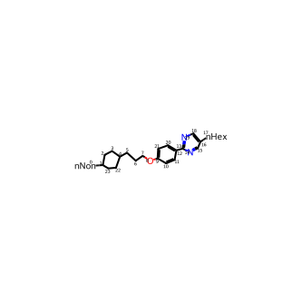 CCCCCCCCCC1CCC(CCCOc2ccc(-c3ncc(CCCCCC)cn3)cc2)CC1